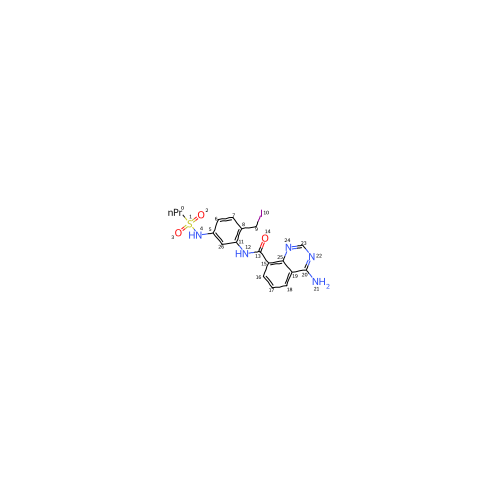 CCCS(=O)(=O)Nc1ccc(CI)c(NC(=O)c2cccc3c(N)ncnc23)c1